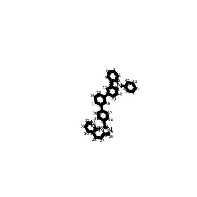 c1ccc(-n2c3ccccc3c3cc(-c4cccc(-c5ccc(-c6ncc7ccc8cccnc8n67)cc5)c4)ccc32)cc1